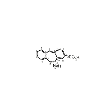 O=C(O)C1=CSC2=Cc3ccccc3C=CC2=C1.[NaH]